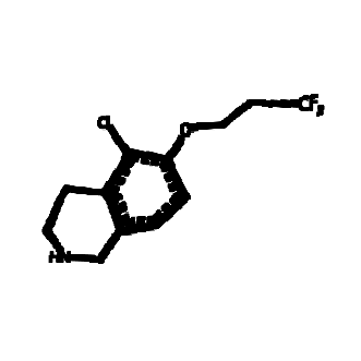 FC(F)(F)CCOc1ccc2c(c1Cl)CCNC2